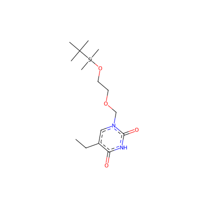 CCc1cn(COCCO[Si](C)(C)C(C)(C)C)c(=O)[nH]c1=O